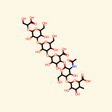 CC(=O)NC1C(OC2C(C(=O)O)OC(OC3C(O)C(CO)OC(OC4C(O)C(CO)OC(OC(CO)C(=O)O)C4O)C3O)C(O)C2O)OC(CO)C(OC2OC(C(=O)O)C(C)C(O)C2O)C1O